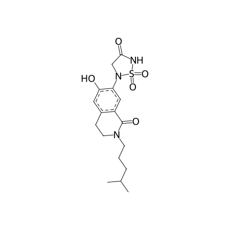 CC(C)CCCN1CCc2cc(O)c(N3CC(=O)NS3(=O)=O)cc2C1=O